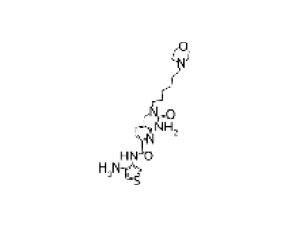 NC(=O)N(CCCCCCN1CCOCC1)Cc1ccc(C(=O)Nc2cscc2N)nc1